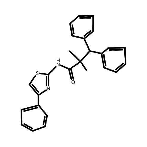 CC(C)(C(=O)Nc1nc(-c2ccccc2)cs1)C(c1ccccc1)c1ccccc1